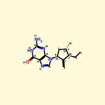 C=C1[C@H](CC)[C@@H](C)C[C@@H]1n1cnc2c(=O)[nH]c(N)nc21